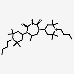 CCCCN1C(C)(C)CC(N2CC(C)N(C3CC(C)(C)N(CCCC)C(C)(C)C3)C(=O)NC2=O)CC1(C)C